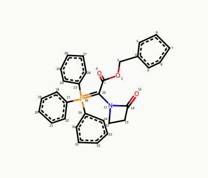 O=C(OCc1ccccc1)C(N1CCC1=O)=P(c1ccccc1)(c1ccccc1)c1ccccc1